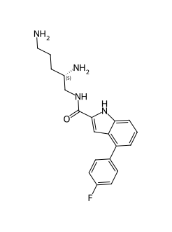 NCCC[C@H](N)CNC(=O)c1cc2c(-c3ccc(F)cc3)cccc2[nH]1